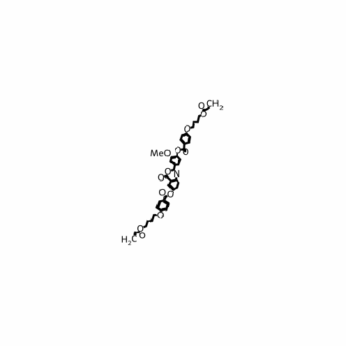 C=CC(=O)OCCCCOc1ccc(C(=O)Oc2ccc3nc(-c4ccc(OC(=O)c5ccc(OCCCCOC(=O)C=C)cc5)c(OC)c4)oc(=O)c3c2)cc1